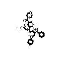 CC(C)CN(C(=O)c1nnn(-c2ccccc2)c1COc1ccc(F)cc1)[C@@H]1CNC[C@H](C(=O)N2CCOCC2)C1